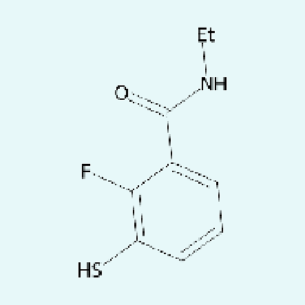 CCNC(=O)c1cccc(S)c1F